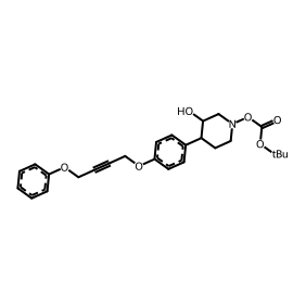 CC(C)(C)OC(=O)ON1CCC(c2ccc(OCC#CCOc3ccccc3)cc2)C(O)C1